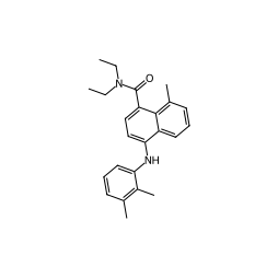 CCN(CC)C(=O)c1ccc(Nc2cccc(C)c2C)c2cccc(C)c12